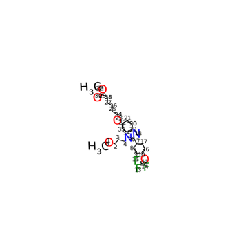 COCCCn1c(-c2ccc(OC(F)(F)F)cc2)nc2ccc(OCCCCCC(=O)OC)cc21